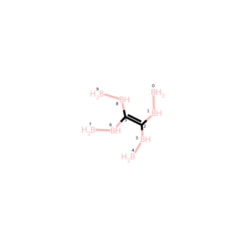 BBC(BB)=C(BB)BB